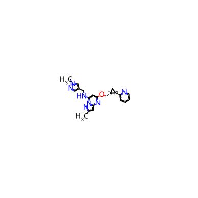 Cc1cc2nc(OC[C@@H]3C[C@H]3c3ccccn3)cc(NCc3cnn(C)c3)n2n1